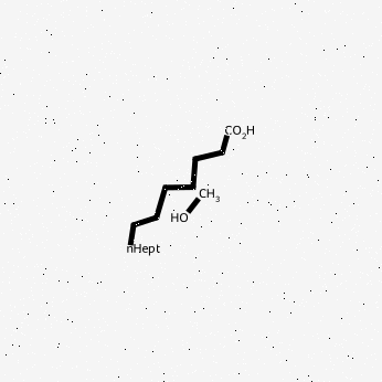 CCCCCCCCCCCCCC(=O)O.CO